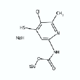 Cc1nc(NC(=O)OC(C)(C)C)cc(S)c1Cl.[NaH]